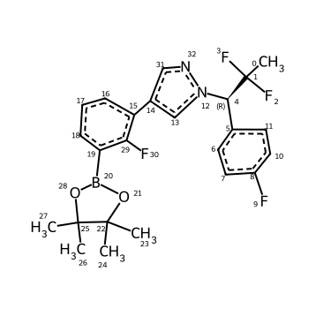 CC(F)(F)[C@@H](c1ccc(F)cc1)n1cc(-c2cccc(B3OC(C)(C)C(C)(C)O3)c2F)cn1